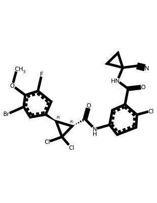 COc1c(F)cc([C@H]2[C@H](C(=O)Nc3ccc(Cl)c(C(=O)NC4(C#N)CC4)c3)C2(Cl)Cl)cc1Br